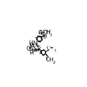 CCc1ccc(-c2csc(Nc3ccc(S(C)(=O)=O)cc3)n2)cc1CC.N[SH](=O)=O